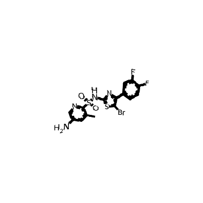 Cc1cc(N)cnc1S(=O)(=O)Nc1nc(-c2ccc(F)c(F)c2)c(Br)s1